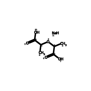 CC(OC(C)C(=O)O)C(=O)O.[NaH]